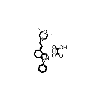 C[C@@H]1CN(CC=C2CCCc3c2cnn3-c2ccccc2)C[C@H](C)O1.O=C(O)C(=O)O